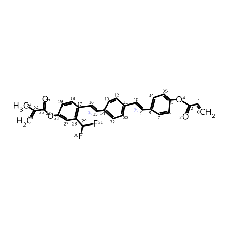 C=CC(=O)Oc1ccc(/C=C/c2ccc(/C=C/c3ccc(OC(=O)C(=C)C)cc3C(F)F)cc2)cc1